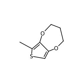 Cc1scc2c1OCCCO2